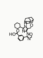 O=C(O)c1cccc(C2=NCON2c2nc(C3CCCCC3)[nH]c2COC23CC4CC(CC(C4)C2)C3)c1